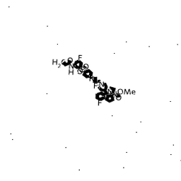 C=CC(=O)Nc1cc(F)cc(S(=O)(=O)c2ccc(N3CC(F)(CN4CCC(C(c5cccc(F)c5)([C@H]5CCC[C@@H]5NC(=O)OC)N5CCC5)CC4)C3)cc2)c1